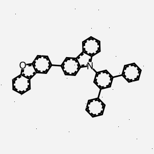 c1ccc(-c2cc(-c3ccccc3)cc(-n3c4ccccc4c4cc(-c5ccc6oc7ccccc7c6c5)ccc43)c2)cc1